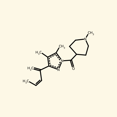 C=C(/C=C\C)c1nn(C(=O)C2CCN(C)CC2)c(C)c1C